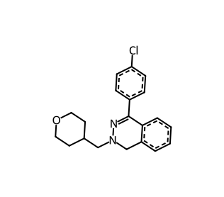 Clc1ccc(C2=NN(CC3CCOCC3)Cc3ccccc32)cc1